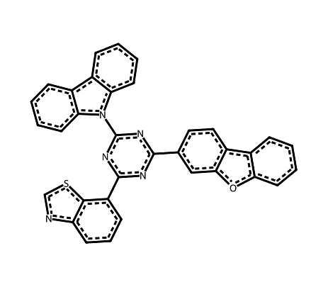 c1cc(-c2nc(-c3ccc4c(c3)oc3ccccc34)nc(-n3c4ccccc4c4ccccc43)n2)c2scnc2c1